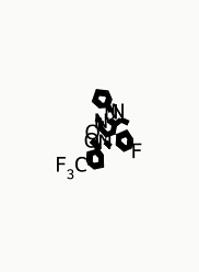 Cc1nn(-c2ccccc2)c2c1[C@H](c1ccc(F)cc1)[C@H](N(C)C(=O)c1cccc(C(F)(F)F)c1)C(=O)N2C